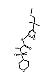 C=C(C(=O)Nc1cc(C(C)(C)COC)no1)S(=O)(=O)C1CCOCC1